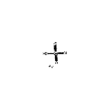 O=[Se](=O)(O)O.[Au]